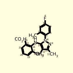 Cc1cc(F)ccc1-n1nc(C)c(Br)c1Nc1c(C)cccc1C(=O)O